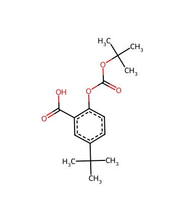 CC(C)(C)OC(=O)Oc1ccc(C(C)(C)C)cc1C(=O)O